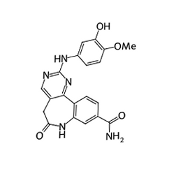 COc1ccc(Nc2ncc3c(n2)-c2ccc(C(N)=O)cc2NC(=O)C3)cc1O